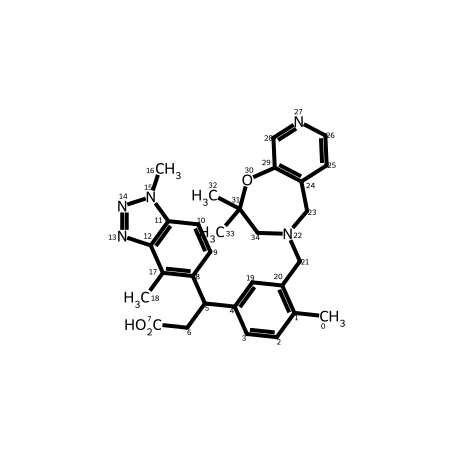 Cc1ccc(C(CC(=O)O)c2ccc3c(nnn3C)c2C)cc1CN1Cc2ccncc2OC(C)(C)C1